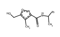 Cc1c(C(=O)NC(C)C(C)C)noc1CO